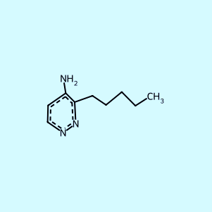 CCCCCc1nnccc1N